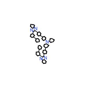 c1ccc(-c2cccc(-c3nc4ccccc4nc3-c3ccc(-c4ccc(N(c5ccccc5)c5ccc(-c6ccc(-c7nc8ccccc8nc7-c7cccc(-c8ccccc8)c7)cc6)cc5)cc4)cc3)c2)cc1